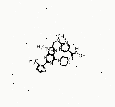 Cc1ccsc1-c1nc(N2CCOCC2)c2c(n1)N(C)C(CN(C)c1ncc(C(=O)NO)cn1)N2